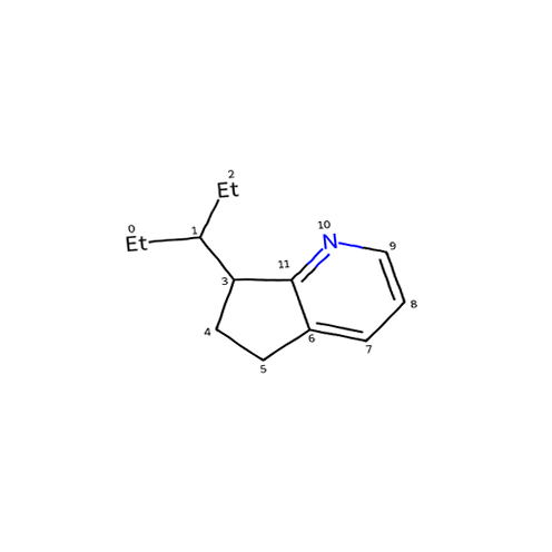 CCC(CC)C1CCc2cccnc21